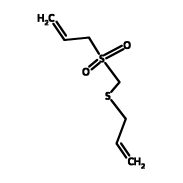 C=CCSCS(=O)(=O)CC=C